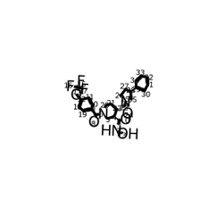 O=C(NO)[C@H]1CN(C(=O)c2ccc(OC(F)(F)F)cc2)CC[C@@H]1C(=O)N1CC[C@@H](c2ccccc2)C1